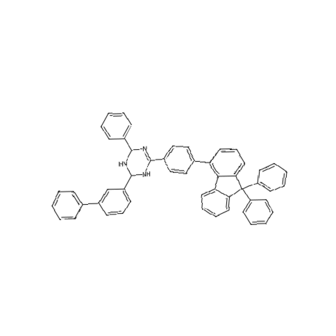 c1ccc(-c2cccc(C3NC(c4ccc(-c5cccc6c5-c5ccccc5C6(c5ccccc5)c5ccccc5)cc4)=NC(c4ccccc4)N3)c2)cc1